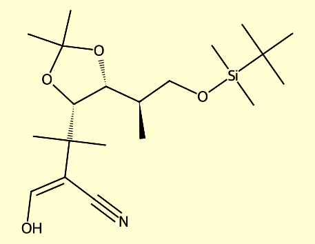 C[C@H](CO[Si](C)(C)C(C)(C)C)[C@H]1OC(C)(C)O[C@H]1C(C)(C)/C(C#N)=C/O